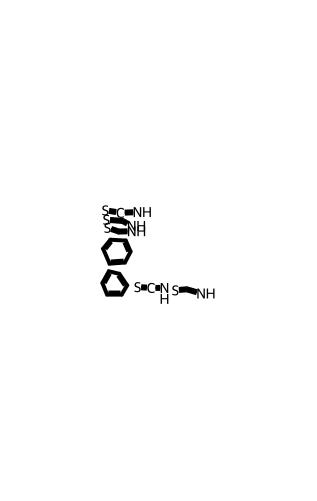 N=C=S.N=C=S.N=C=S.N=C=S.N=C=S.c1ccccc1.c1ccccc1